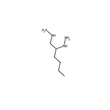 CCCCC(CNP)NN